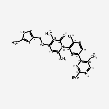 Cc1nc(COc2nc(C)n(-c3cc(-c4nc(C(C)C)ncc4C)ccc3Cl)c(=O)c2C)cs1